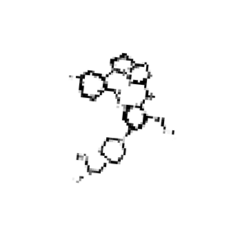 COc1cc(N2CCN(C[C@H](C)O)CC2)ccc1Nc1ncc2ccc(-c3cc(Cl)ccc3OC)n2n1